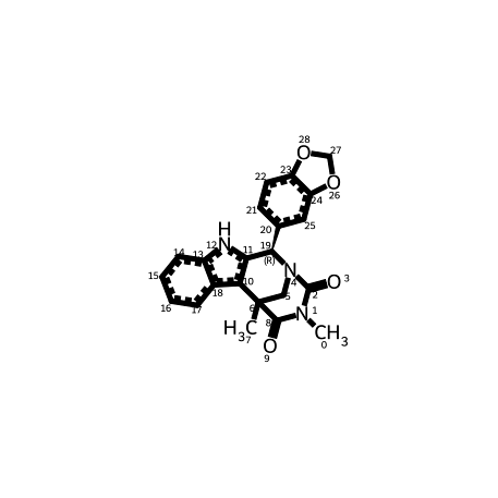 CN1C(=O)N2CC(C)(C1=O)c1c([nH]c3ccccc13)[C@H]2c1ccc2c(c1)OCO2